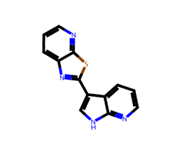 c1cnc2sc(-c3c[nH]c4ncccc34)nc2c1